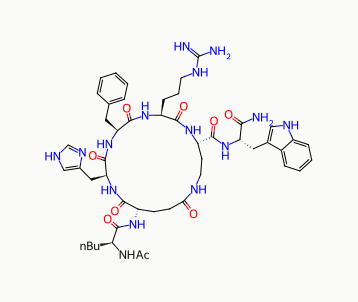 CCCC[C@H](NC(C)=O)C(=O)N[C@H]1CCC(=O)NCC[C@@H](C(=O)N[C@@H](Cc2c[nH]c3ccccc23)C(N)=O)NC(=O)[C@H](CCCNC(=N)N)NC(=O)[C@H](Cc2ccccc2)NC(=O)[C@H](Cc2c[nH]cn2)NC1=O